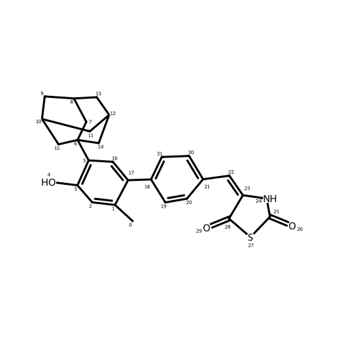 Cc1cc(O)c(C23CC4CC(CC(C4)C2)C3)cc1-c1ccc(C=C2NC(=O)SC2=O)cc1